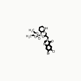 CCOP(=O)(OCC)O[C@H]1CCCN[C@@H]1CC(=O)Cn1cnc2cc(Br)c(Cl)cc2c1=O